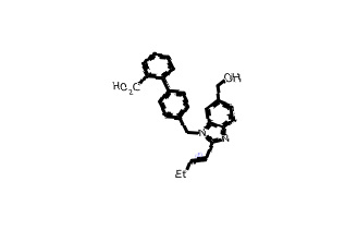 CC/C=C/c1nc2ccc(CO)cc2n1Cc1ccc(-c2ccccc2C(=O)O)cc1